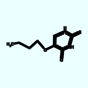 CCCCOc1c[nH]c(=S)[nH]c1=O